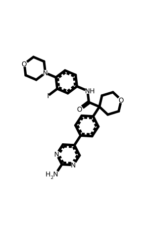 Nc1ncc(-c2ccc(C3(C(=O)Nc4ccc(N5CCOCC5)c(I)c4)CCOCC3)cc2)cn1